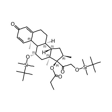 CCC(=O)O[C@]1(C(=O)CO[Si](C)(C)C(C)(C)C)[C@H](C)C[C@H]2[C@@H]3CCC4=CC(=O)C=C[C@]4(C)C3[C@@H](O[Si](C)(C)C(C)(C)C)C[C@@]21C